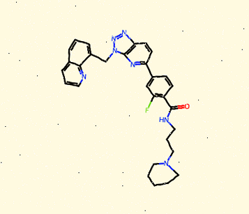 O=C(NCCCN1CCCCC1)c1ccc(-c2ccc3nnn(Cc4cccc5cccnc45)c3n2)cc1F